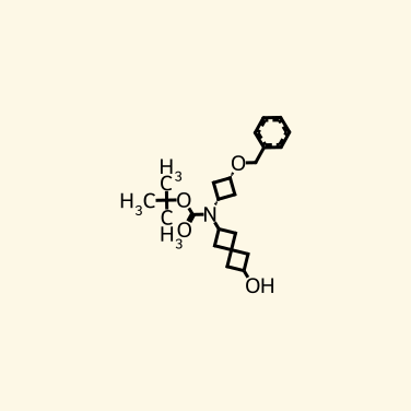 CC(C)(C)OC(=O)N(C1CC2(CC(O)C2)C1)[C@H]1C[C@@H](OCc2ccccc2)C1